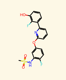 CS(=O)(=O)Nc1cc(Oc2cccc(-c3cccc(O)c3F)n2)ccc1F